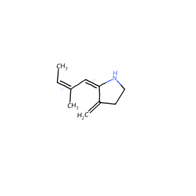 C=C1CCN/C1=C/C(C)=C\C